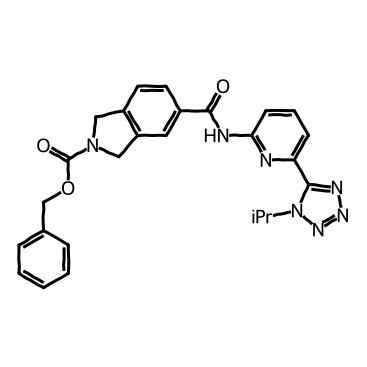 CC(C)n1nnnc1-c1cccc(NC(=O)c2ccc3c(c2)CN(C(=O)OCc2ccccc2)C3)n1